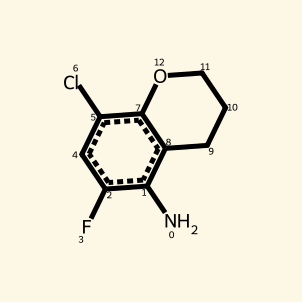 Nc1c(F)cc(Cl)c2c1CCCO2